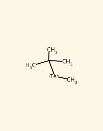 C[Te+]C(C)(C)C